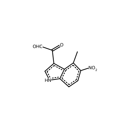 Cc1c([N+](=O)[O-])ccc2[nH]cc(C(=O)C=O)c12